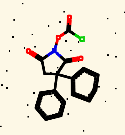 O=C(Cl)ON1C(=O)CC(c2ccccc2)(c2ccccc2)C1=O